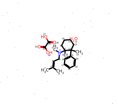 CCC1(N(C)CC=C(C)C)CCCCC1(C)c1ccccc1.O.O=C(O)C(=O)O